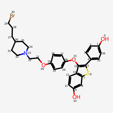 Oc1ccc(-c2sc3cc(O)ccc3c2Oc2ccc(OCCN3CCC(CCCBr)CC3)cc2)cc1